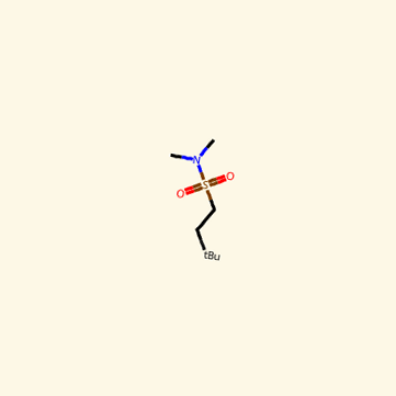 CN(C)S(=O)(=O)CCC(C)(C)C